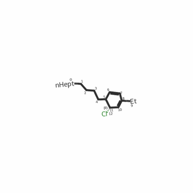 CCCCCCCCCCCC1C=CC(CC)=C[C@@H]1Cl